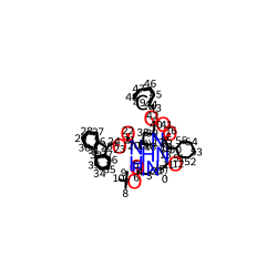 C[C@H](NCC(=O)OC(C)(C)C)C(=O)N[C@H](C(=O)N1C[C@@H](NC(=O)OCC2c3ccccc3-c3ccccc32)CC1C(=O)OCc1ccccc1)C1CCCCC1